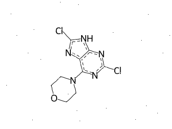 Clc1nc(N2CCOCC2)c2nc(Cl)[nH]c2n1